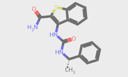 C[C@H](NC(=O)Nc1c(C(N)=O)sc2ccccc12)c1ccccc1